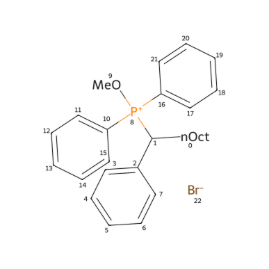 CCCCCCCCC(c1ccccc1)[P+](OC)(c1ccccc1)c1ccccc1.[Br-]